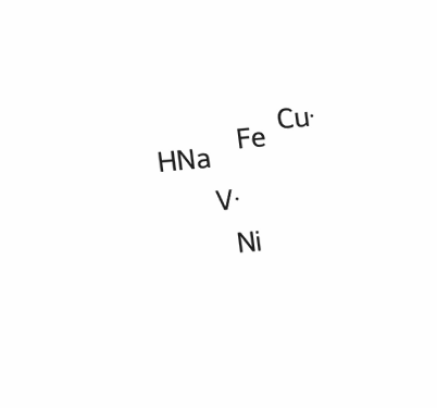 [Cu].[Fe].[NaH].[Ni].[V]